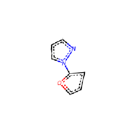 [c]1ccn(-c2ccco2)n1